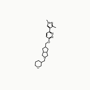 Cc1nn(C)cc1-c1ccc(OCC2CC3CN(CC4CCCOC4)CC3C2)nn1